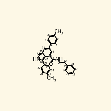 Cc1ccc(-c2cc(C(=O)NCCc3ccccc3)c3c(-c4ccc(C)cc4)[nH]nc3c2)cc1